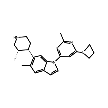 Cc1nc(N2CCC2)cc(-n2ncc3cc(C)c([C@H]4CCNC[C@H]4F)cc32)n1